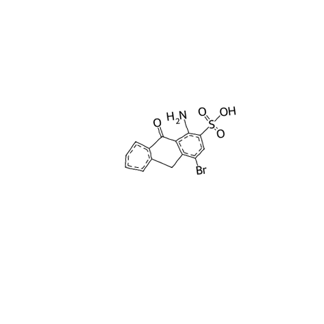 Nc1c(S(=O)(=O)O)cc(Br)c2c1C(=O)c1ccccc1C2